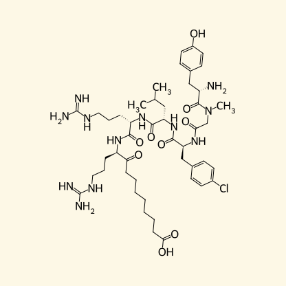 CC(C)C[C@H](NC(=O)[C@H](Cc1ccc(Cl)cc1)NC(=O)CN(C)C(=O)[C@@H](N)Cc1ccc(O)cc1)C(=O)N[C@@H](CCCNC(=N)N)C(=O)N[C@H](CCCNC(=N)N)C(=O)CCCCCCCC(=O)O